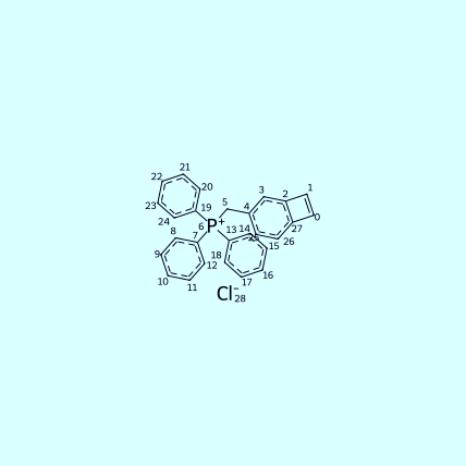 C1=Cc2cc(C[P+](c3ccccc3)(c3ccccc3)c3ccccc3)ccc21.[Cl-]